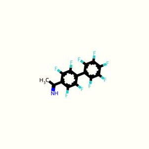 CC(=N)c1c(F)c(F)c(-c2c(F)c(F)c(F)c(F)c2F)c(F)c1F